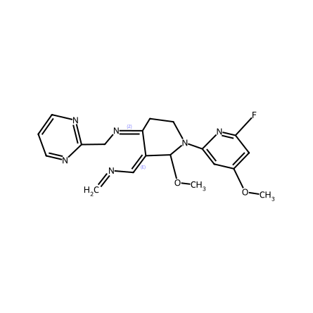 C=N/C=C1\C(=N/Cc2ncccn2)CCN(c2cc(OC)cc(F)n2)C1OC